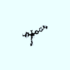 Cc1cc(-c2c(C(C)C)c(-c3ccc(C4CCN(C(=O)OC(C)(C)C)CC4)cc3)nn2COCC[Si](C)(C)C)cn2ncnc12